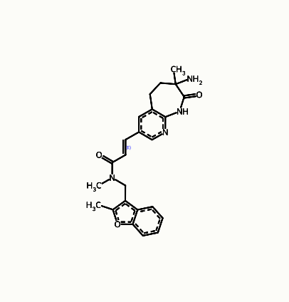 Cc1oc2ccccc2c1CN(C)C(=O)/C=C/c1cnc2c(c1)CCC(C)(N)C(=O)N2